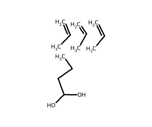 C=CC.C=CC.C=CC.CCCC(O)O